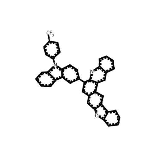 FC(F)(F)c1ccc(-n2c3ccccc3c3cc(-c4cc5cc6oc7ccccc7c6cc5c5cc6ccccc6nc45)ccc32)cc1